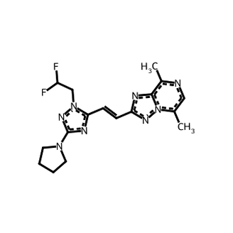 Cc1ncc(C)n2nc(/C=C/c3nc(N4CCCC4)nn3CC(F)F)nc12